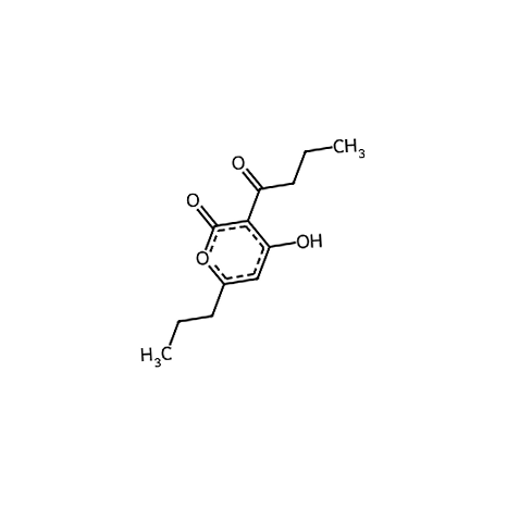 CCCC(=O)c1c(O)cc(CCC)oc1=O